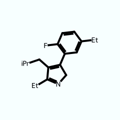 CCC1=NCC(c2cc(CC)ccc2F)=C1CC(C)C